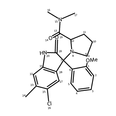 COc1ccccc1C1(N2CCCC2C(=O)N(C)C)C(=O)Nc2cc(C)c(Cl)cc21